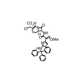 CON=C(C(=O)N[C@@H]1C(=O)N2C(C(=O)O)=C(CCl)SC[C@H]12)c1csc(NC(c2ccccc2)(c2ccccc2)c2ccccc2)n1